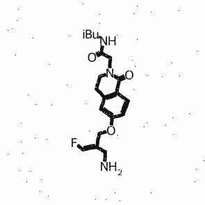 CCC(C)NC(=O)CN1CCc2cc(OC/C(=C\F)CN)ccc2C1=O